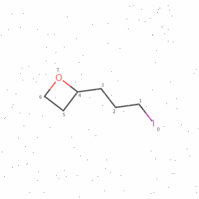 ICCCC1CCO1